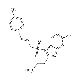 O=C(O)CCc1cc2cc(Cl)ccc2n1S(=O)(=O)CC=Cc1ccc(C(F)(F)F)cc1